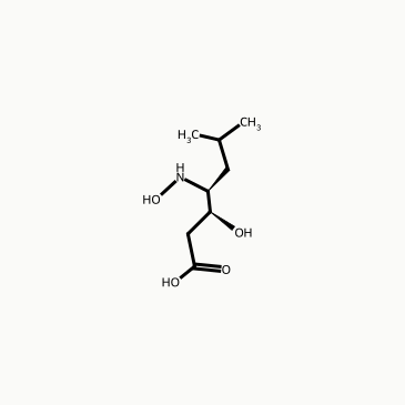 CC(C)C[C@H](NO)[C@@H](O)CC(=O)O